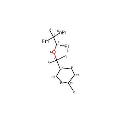 CCCC(C)(CC)[C@H](CC)OC(C)(C)C1CCC(C)CC1